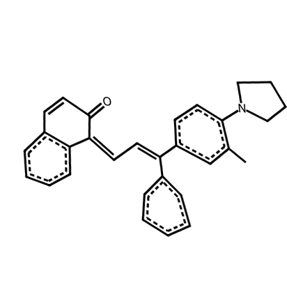 Cc1cc(/C(=C/C=C2\C(=O)C=Cc3ccccc32)c2ccccc2)ccc1N1CCCC1